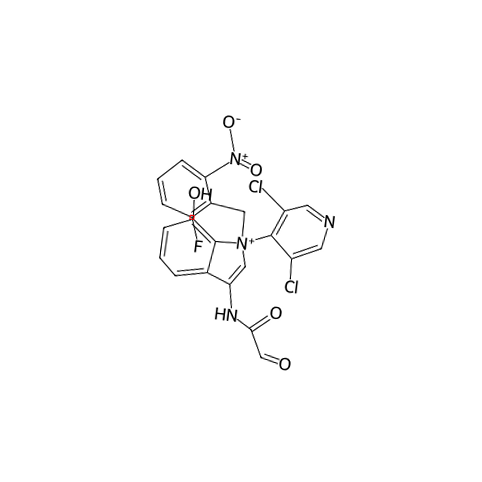 O=CC(=O)NC1=C[N+](Cc2c(F)cccc2[N+](=O)[O-])(c2c(Cl)cncc2Cl)c2c(O)cccc21